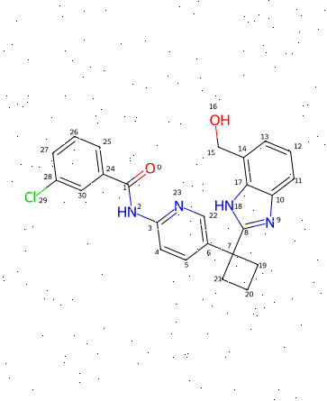 O=C(Nc1ccc(C2(c3nc4cccc(CO)c4[nH]3)CCC2)cn1)c1cccc(Cl)c1